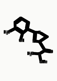 CON(C)C(=O)C1CSC(c2cccc(C)c2O)=N1